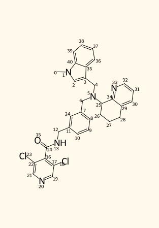 Cn1cc(CN(Cc2cccc(CNC(=O)c3c(Cl)cncc3Cl)c2)C2CCCc3cccnc32)c2ccccc21